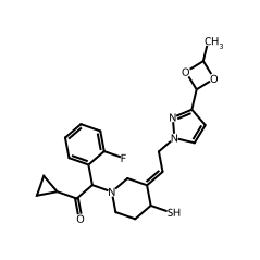 CC1OC(c2ccn(C/C=C3\CN(C(C(=O)C4CC4)c4ccccc4F)CCC3S)n2)O1